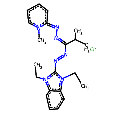 CCn1c(N=NC(=NN=c2ccccn2C)C(C)C)[n+](CC)c2ccccc21.[Cl-]